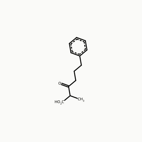 CC(C(=O)O)C(=O)CCCc1ccccc1